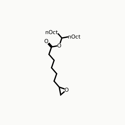 CCCCCCCCC(CCCCCCCC)OC(=O)CCCCCC1CO1